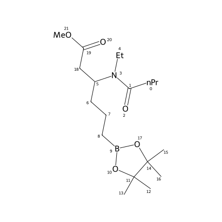 CCCC(=O)N(CC)C(CCCB1OC(C)(C)C(C)(C)O1)CC(=O)OC